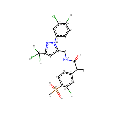 CC(C(=O)NCc1cc(C(F)(F)F)nn1-c1ccc(F)c(Cl)c1)c1ccc(S(C)(=O)=O)c(F)c1